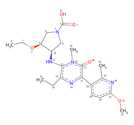 CCO[C@H]1CN(C(=O)O)C[C@H]1Nc1c(CC)nc(-c2ccc(OC)nc2C)c(=O)n1C